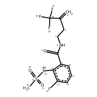 C=C(CCNC(=O)c1cccc(F)c1NS(C)(=O)=O)C(F)(F)F